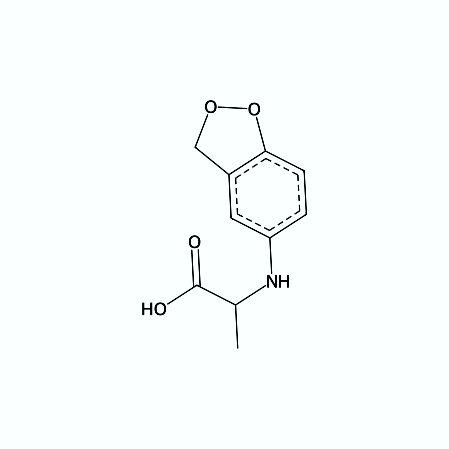 CC(Nc1ccc2c(c1)COO2)C(=O)O